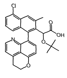 Cc1cc2c(Cl)cccc2c(-c2ccc3c4c(ccnc24)CCO3)c1C(OC(C)(C)C)C(=O)O